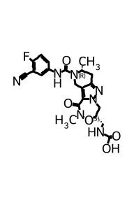 C[C@@H]1Cc2nn3c(c2CN1C(=O)Nc1ccc(F)c(C#N)c1)C(=O)N(C)O[C@@H](CNC(=O)O)C3